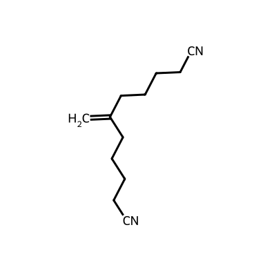 C=C(CCCCC#N)CCCCC#N